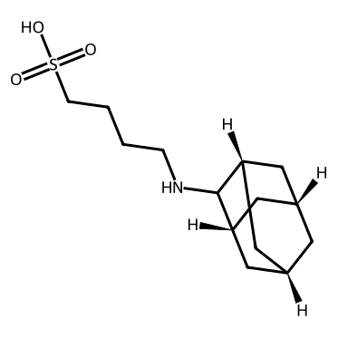 O=S(=O)(O)CCCCNC1[C@H]2C[C@H]3C[C@H](C2)C[C@@H]1C3